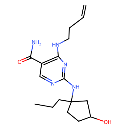 C=CCCNc1nc(NC2(CCC)CCC(O)C2)ncc1C(N)=O